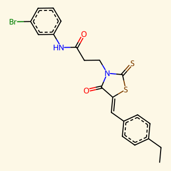 CCc1ccc(/C=C2\SC(=S)N(CCC(=O)Nc3cccc(Br)c3)C2=O)cc1